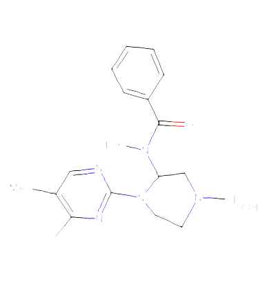 CSc1cnc(N2CCN(C)CC2N(C)C(=O)c2ccccc2)nc1Cl.Cl